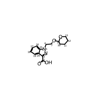 O=C(O)c1nn(CCOC2CCCCO2)c2ccccc12